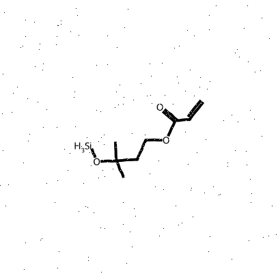 C=CC(=O)OCCC(C)(C)O[SiH3]